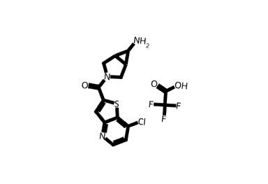 NC1C2CN(C(=O)c3cc4nccc(Cl)c4s3)CC12.O=C(O)C(F)(F)F